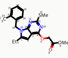 CCc1cc2c(OCC(=O)OC)nc(SC)nc2n1Cc1ccccc1C(F)(F)F